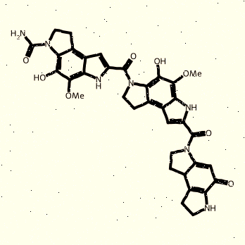 COc1c(O)c2c(c3cc(C(=O)N4CCc5c4c(O)c(OC)c4[nH]c(C(=O)N6CCC7C6=CC(=O)C6=C7CCN6)cc54)[nH]c13)CCN2C(N)=O